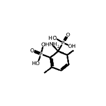 CC1=C(P(=O)(O)O)C(N)(P(=O)(O)O)C(C)C=C1